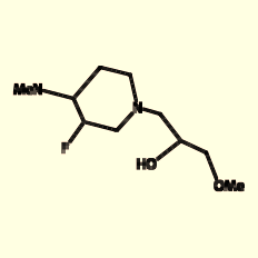 CNC1CCN(CC(O)COC)CC1F